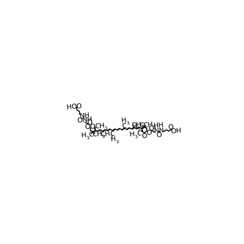 CC1=C(/C=C/C(C)=C/C=C/C(C)=C/C=C/C=C(C)/C=C/C=C(C)/C=C/C2=C(C)C(=O)C(OC(=O)CNC(=O)NCCCC(=O)O)CC2(C)C)C(C)(C)CC(OC(=O)CNC(=O)NCCCC(=O)O)O1